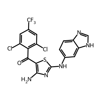 Nc1nc(Nc2ccc3nc[nH]c3c2)sc1C(=O)c1c(Cl)cc(C(F)(F)F)cc1Cl